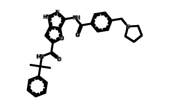 CC(C)(NC(=O)c1cc2[nH]nc(NC(=O)c3ccc(CN4CCCC4)cc3)c2o1)c1ccccc1